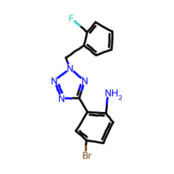 Nc1ccc(Br)cc1-c1nnn(Cc2ccccc2F)n1